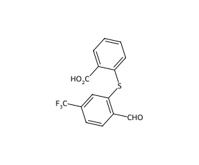 O=Cc1ccc(C(F)(F)F)cc1Sc1ccccc1C(=O)O